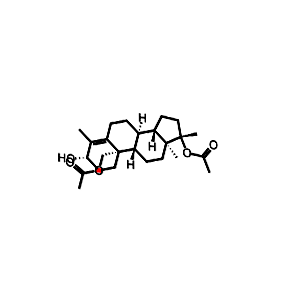 CC(=O)OC[C@]12CC[C@H](O)C(C)=C1CC[C@@H]1[C@@H]2CC[C@@]2(C)[C@H]1CC[C@]2(C)OC(C)=O